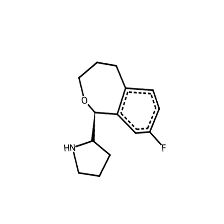 Fc1ccc2c(c1)[C@@H](C1CCCN1)OCCC2